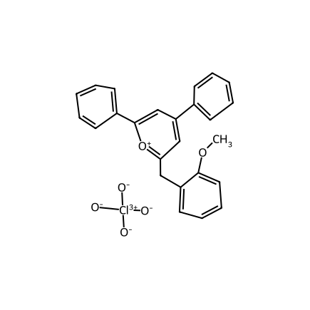 COc1ccccc1Cc1cc(-c2ccccc2)cc(-c2ccccc2)[o+]1.[O-][Cl+3]([O-])([O-])[O-]